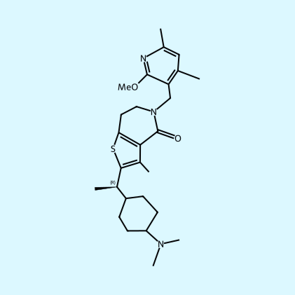 COc1nc(C)cc(C)c1CN1CCc2sc([C@H](C)C3CCC(N(C)C)CC3)c(C)c2C1=O